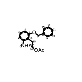 CC(=O)Nc1cccc(OCc2ccccc2)c1CCOC(C)=O